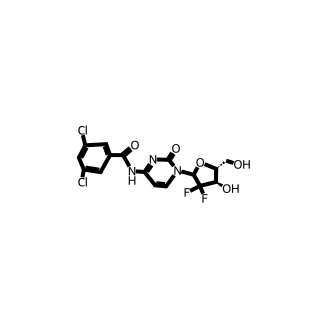 O=C(Nc1ccn(C2O[C@H](CO)[C@@H](O)C2(F)F)c(=O)n1)c1cc(Cl)cc(Cl)c1